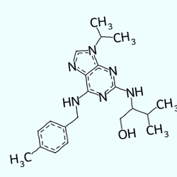 Cc1ccc(CNc2nc(NC(CO)C(C)C)nc3c2ncn3C(C)C)cc1